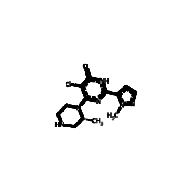 C[C@@H]1CNCCN1c1nc(-c2ccnn2C)[nH]c(=O)c1Cl